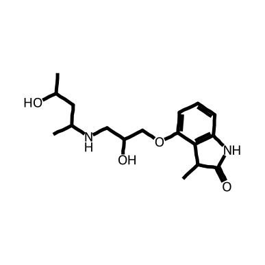 CC(O)CC(C)NCC(O)COc1cccc2c1C(C)C(=O)N2